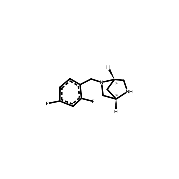 Fc1ccc(CN2C[C@@H]3C[C@H]2CN3)c(F)c1